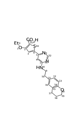 CCOc1cc(-c2cc(NCCc3ccc4c(c3)CCCO4)ncn2)sc1C(=O)O